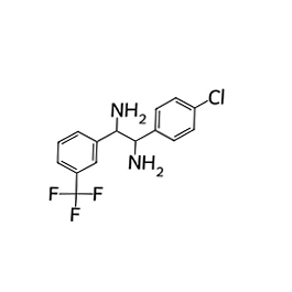 NC(c1ccc(Cl)cc1)C(N)c1cccc(C(F)(F)F)c1